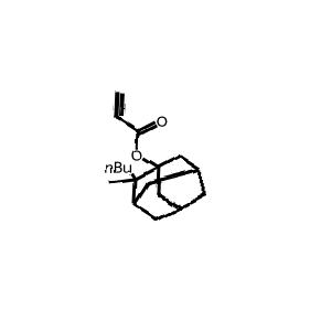 C=CC(=O)OC12CC3CC(CC(C3)C1(C)CCCC)C2